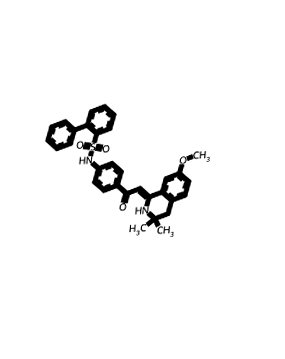 COc1ccc2c(c1)/C(=C/C(=O)c1ccc(NS(=O)(=O)c3ccccc3-c3ccccc3)cc1)NC(C)(C)C2